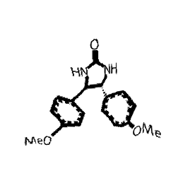 COc1ccc(C2NC(=O)N[C@@H]2c2ccc(OC)cc2)cc1